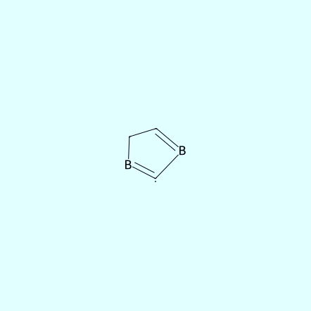 B1=[C]B=CC1